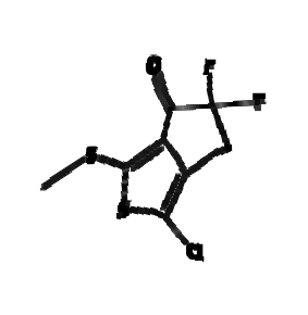 CSc1sc(Cl)c2c1C(=O)C(F)(F)C2